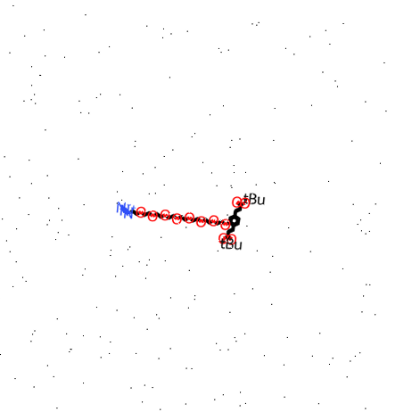 CC(C)(C)OC(=O)/C=C/c1ccc(/C=C/C(=O)OC(C)(C)C)c(OCCOCCOCCOCCOCCOCCOCCOCCN=[N+]=[N-])c1